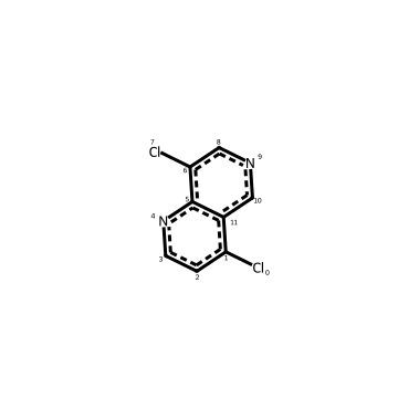 Clc1ccnc2c(Cl)cncc12